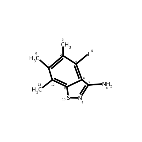 Cc1c(C)c(I)c2c(N)nsc2c1C